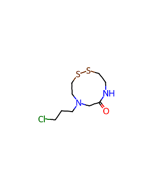 O=C1CN(CCCCl)CCSSCCN1